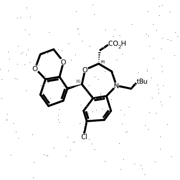 CC(C)(C)CN1C[C@@H](CC(=O)O)O[C@H](c2cccc3c2OCCO3)c2cc(Cl)ccc21